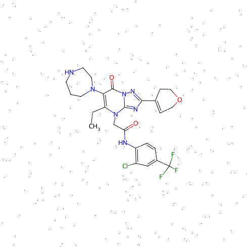 CCc1c(N2CCCNCC2)c(=O)n2nc(C3=CCOCC3)nc2n1CC(=O)Nc1ccc(C(F)(F)F)cc1Cl